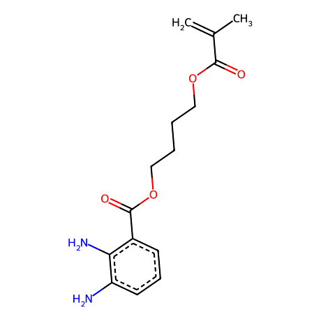 C=C(C)C(=O)OCCCCOC(=O)c1cccc(N)c1N